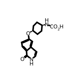 O=C(O)N[C@H]1CC[C@@H](Oc2ccc3c(=O)[nH]ccc3c2)CC1